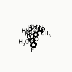 CNC(=O)c1c(-c2ccc(F)cc2)oc2cc(-c3c(C)noc3C)c(OC(C)c3nnn[nH]3)cc12